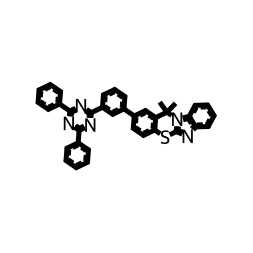 CC1(C)c2cc(-c3cccc(-c4nc(-c5ccccc5)nc(-c5ccccc5)n4)c3)ccc2Sc2nc3ccccc3n21